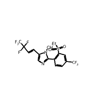 CCS(=O)(=O)c1cc(C(F)(F)F)ccc1-c1ncc(/C=C/C(F)(F)C(F)(F)F)n1C